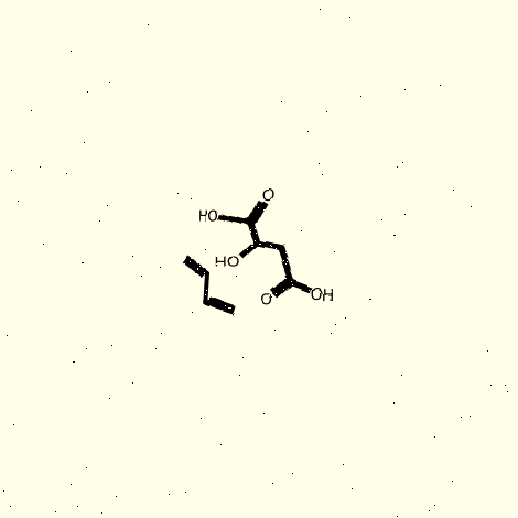 C=CC=C.O=C(O)CC(O)C(=O)O